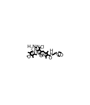 COc1c(C)cnc(CN2C(=O)C(=Cc3[nH]c(C)c(C(=O)NCCN4CCOCC4)c3C)c3c(Cl)nc(N)nc32)c1C